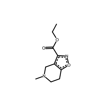 CCOC(=O)c1noc2c1CN(C)CC2